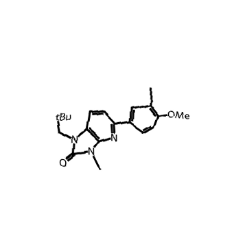 COc1ccc(-c2ccc3c(n2)n(C)c(=O)n3CC(C)(C)C)cc1C